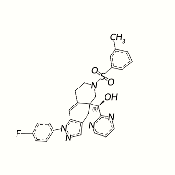 Cc1cccc(S(=O)(=O)N2CCC3=Cc4c(cnn4-c4ccc(F)cc4)CC3([C@@H](O)c3ncccn3)C2)c1